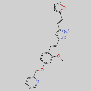 COc1cc(OCc2ccccn2)ccc1C=Cc1cc(C=Cc2ccco2)[nH]n1